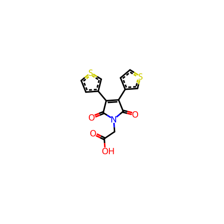 O=C(O)CN1C(=O)C(c2ccsc2)=C(c2ccsc2)C1=O